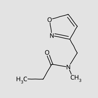 CCC(=O)N(C)Cc1ccon1